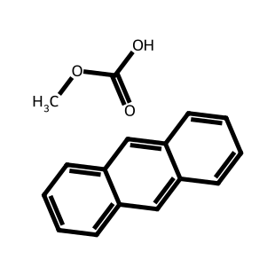 COC(=O)O.c1ccc2cc3ccccc3cc2c1